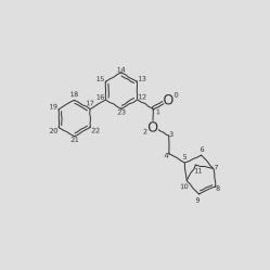 O=C(OCCC1CC2C=CC1C2)c1cccc(-c2ccccc2)c1